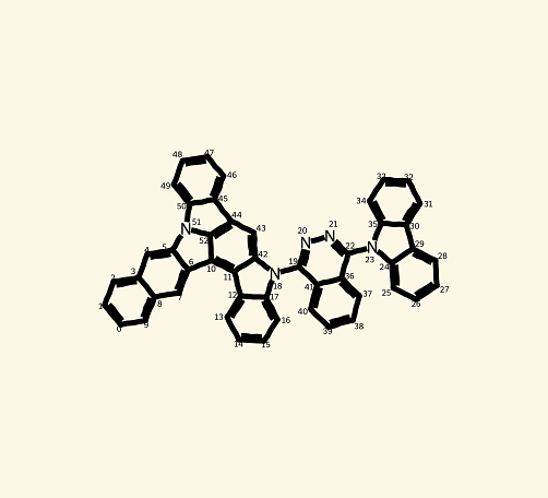 c1ccc2cc3c(cc2c1)c1c2c4ccccc4n(-c4nnc(-n5c6ccccc6c6ccccc65)c5ccccc45)c2cc2c4ccccc4n3c21